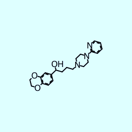 OC(CCCN1CCN(c2ccccn2)CC1)c1ccc2c(c1)OCCO2